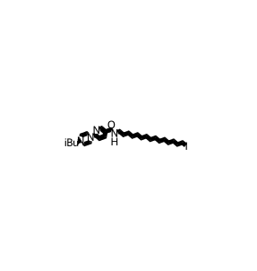 CCC(C)N1CCN(c2ccc(C(=O)NCCCCCCCCCCCCCCCI)cn2)CC1